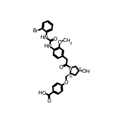 COc1cc(CC(=O)N2C[C@@H](O)C[C@H]2COc2ccc(C(=O)O)cc2)ccc1NC(=O)Nc1ccccc1Br